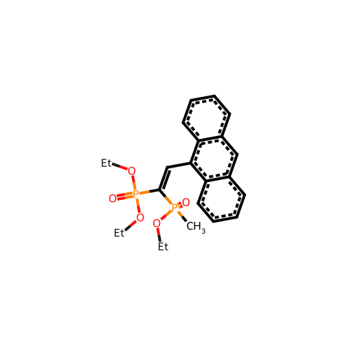 CCOP(C)(=O)/C(=C\c1c2ccccc2cc2ccccc12)P(=O)(OCC)OCC